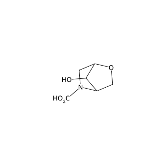 O=C(O)N1CC2OCC1C2O